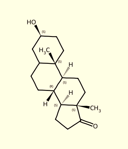 C[C@]12CC[C@H](O)CC1CC[C@@H]1[C@@H]2CC[C@]2(C)C(=O)CC[C@@H]12